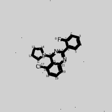 Fc1ccccc1-c1nc(N2CCCC2)c2c(Cl)cccc2n1